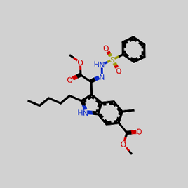 CCCCCc1[nH]c2cc(C(=O)OC)c(C)cc2c1C(=NNS(=O)(=O)c1ccccc1)C(=O)OC